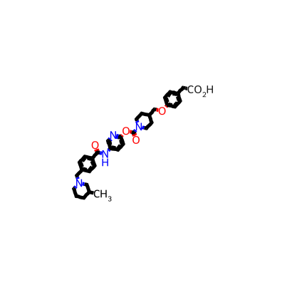 CC1CCCN(Cc2ccc(C(=O)Nc3ccc(OC(=O)N4CCC(COc5ccc(CC(=O)O)cc5)CC4)nc3)cc2)C1